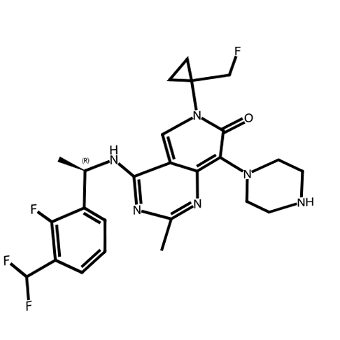 Cc1nc(N[C@H](C)c2cccc(C(F)F)c2F)c2cn(C3(CF)CC3)c(=O)c(N3CCNCC3)c2n1